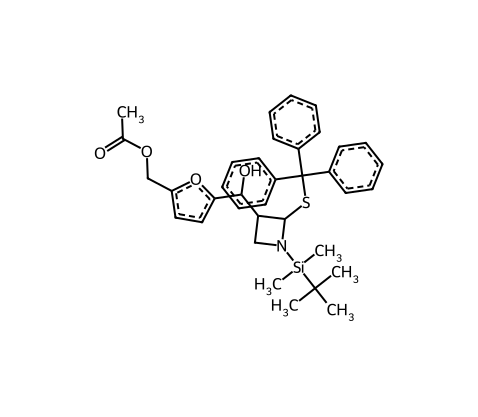 CC(=O)OCc1ccc(C(O)C2CN([Si](C)(C)C(C)(C)C)C2SC(c2ccccc2)(c2ccccc2)c2ccccc2)o1